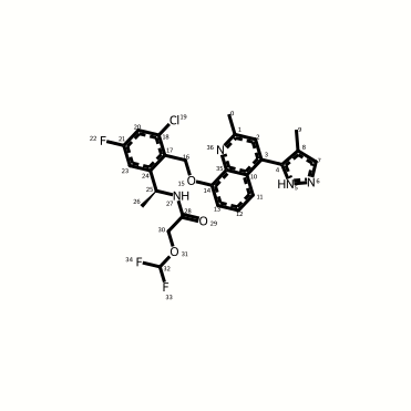 Cc1cc(-c2[nH]ncc2C)c2cccc(OCc3c(Cl)cc(F)cc3[C@H](C)NC(=O)COC(F)F)c2n1